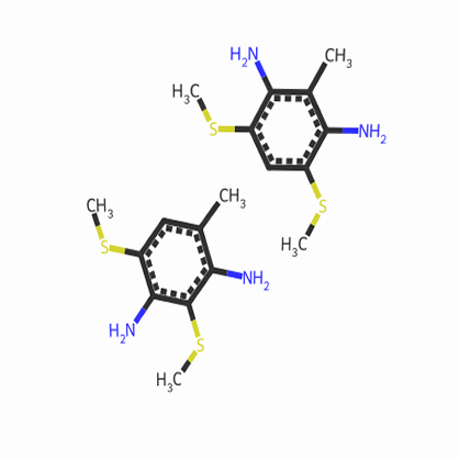 CSc1cc(C)c(N)c(SC)c1N.CSc1cc(SC)c(N)c(C)c1N